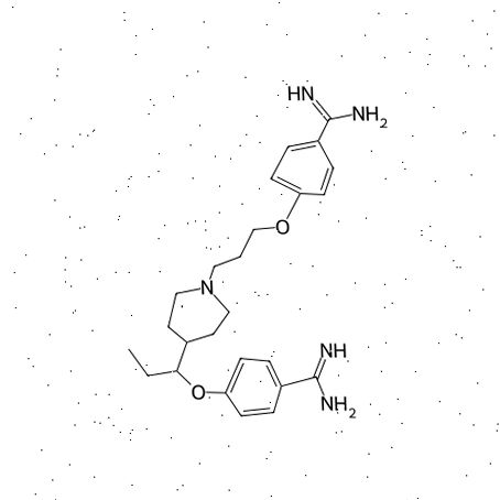 CCC(Oc1ccc(C(=N)N)cc1)C1CCN(CCCOc2ccc(C(=N)N)cc2)CC1